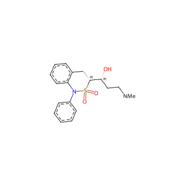 CNCC[C@@H](O)[C@H]1Cc2ccccc2N(c2ccccc2)S1(=O)=O